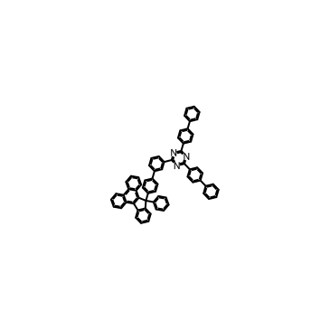 c1ccc(-c2ccc(-c3nc(-c4ccc(-c5ccccc5)cc4)nc(-c4cccc(-c5ccc(C6(c7ccccc7)c7ccccc7-c7c6c6ccccc6c6ccccc76)cc5)c4)n3)cc2)cc1